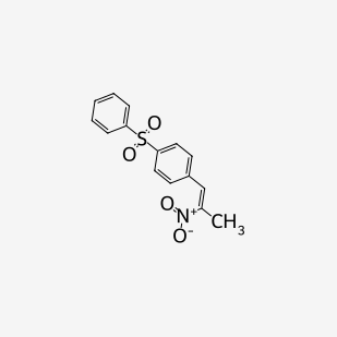 CC(=Cc1ccc(S(=O)(=O)c2ccccc2)cc1)[N+](=O)[O-]